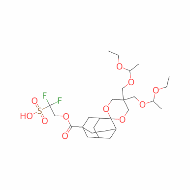 CCOC(C)OCC1(COC(C)OCC)COC2(OC1)C1CC3CC2CC(C(=O)OCC(F)(F)S(=O)(=O)O)(C3)C1